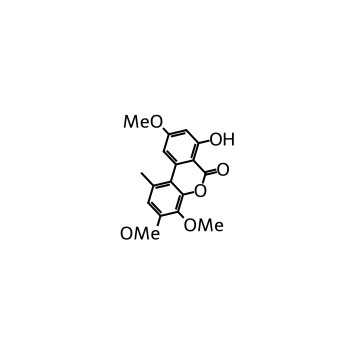 COc1cc(O)c2c(=O)oc3c(OC)c(OC)cc(C)c3c2c1